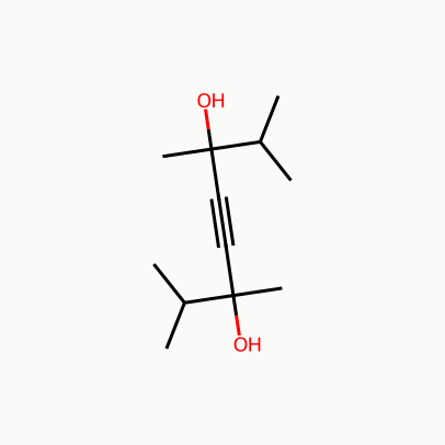 CC(C)C(C)(O)C#CC(C)(O)C(C)C